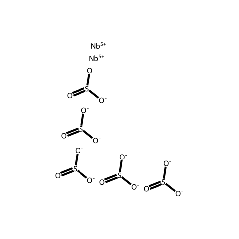 O=S([O-])[O-].O=S([O-])[O-].O=S([O-])[O-].O=S([O-])[O-].O=S([O-])[O-].[Nb+5].[Nb+5]